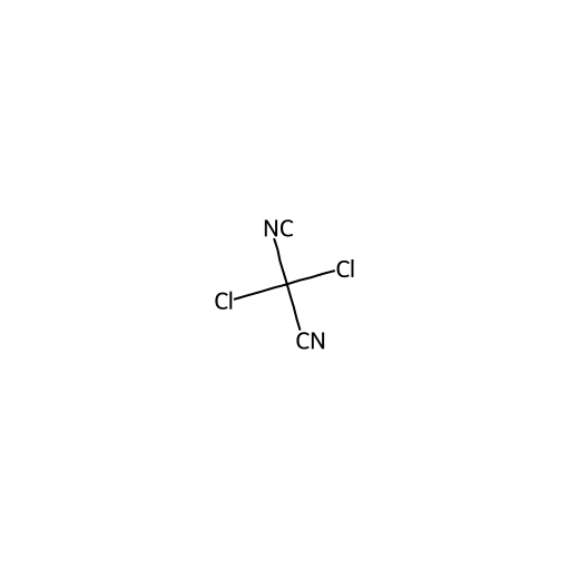 [C-]#[N+]C(Cl)(Cl)C#N